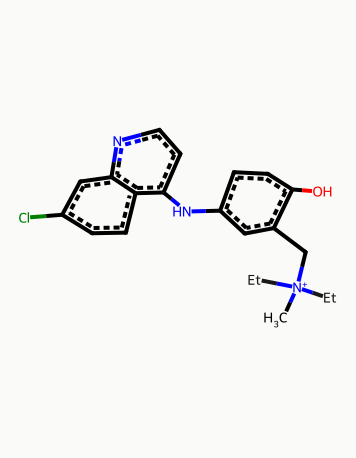 CC[N+](C)(CC)Cc1cc(Nc2ccnc3cc(Cl)ccc23)ccc1O